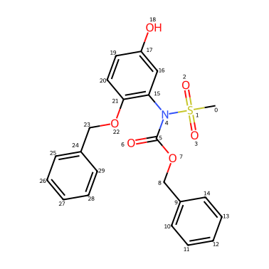 CS(=O)(=O)N(C(=O)OCc1ccccc1)c1cc(O)ccc1OCc1ccccc1